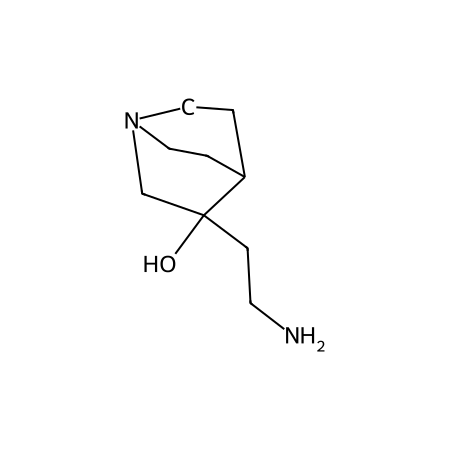 NCCC1(O)CN2CCC1CC2